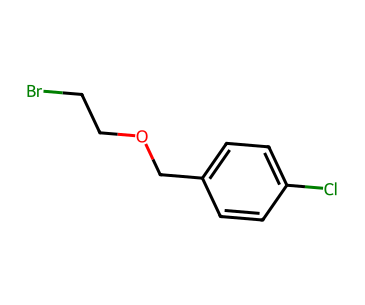 Clc1ccc(COCCBr)cc1